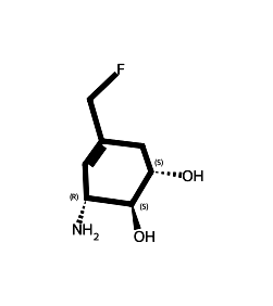 N[C@@H]1C=C(CF)C[C@H](O)[C@H]1O